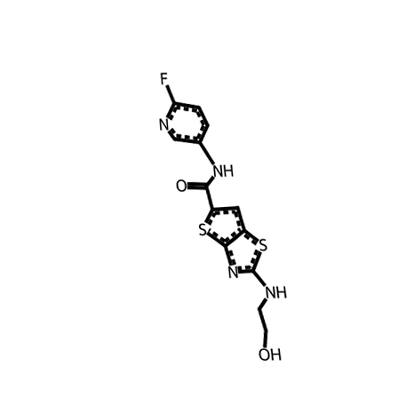 O=C(Nc1ccc(F)nc1)c1cc2sc(NCCO)nc2s1